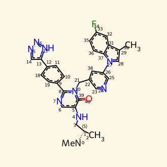 CN[C@@H](C)CNc1cnc(-c2ccc(-c3cnn[nH]3)cc2)n(Cc2cncc(-n3cc(C)c4cc(F)ccc43)c2)c1=O